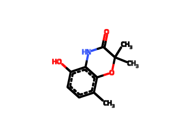 Cc1ccc(O)c2c1OC(C)(C)C(=O)N2